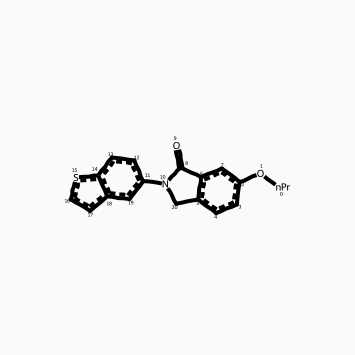 CCCOc1ccc2c(c1)C(=O)N(c1ccc3sccc3c1)C2